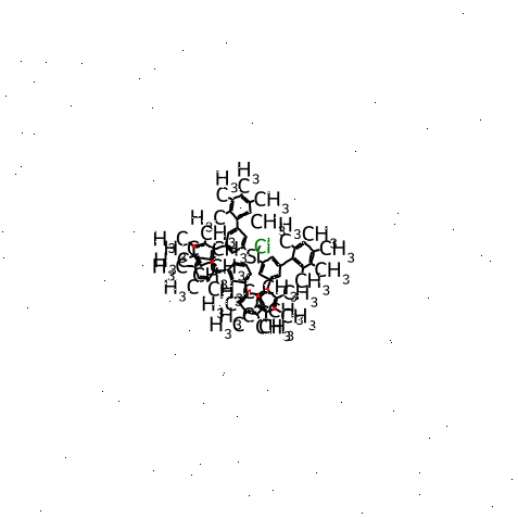 Cc1c(C)c(C)c(-c2cc(-c3c(C)c(C)c(C)c(C)c3C)cc([Si](Cl)(c3cc(-c4c(C)c(C)c(C)c(C)c4C)cc(-c4c(C)c(C)c(C)c(C)c4C)c3)c3cc(-c4c(C)c(C)c(C)c(C)c4C)cc(-c4c(C)c(C)c(C)c(C)c4C)c3)c2)c(C)c1C